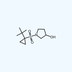 CC(C)(C)C1(S(=O)(=O)N2CCC(O)C2)CC1